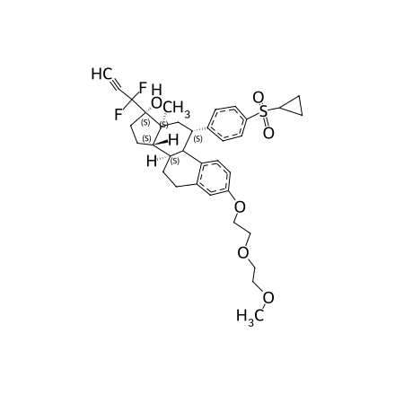 C#CC(F)(F)[C@]1(O)CC[C@H]2[C@@H]3CCc4cc(OCCOCCOC)ccc4C3[C@@H](c3ccc(S(=O)(=O)C4CC4)cc3)C[C@@]21C